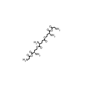 NCC(=O)OC(=O)[C@@H](N)CCOC(=O)CC[C@H](N)C(=O)OCC[C@H](N)C(=O)OC(=O)CN